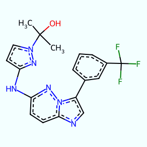 CC(C)(O)n1ccc(Nc2ccc3ncc(-c4cccc(C(F)(F)F)c4)n3n2)n1